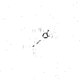 COc1cc(OCC(=O)NC(C)C)cc(OC)c1C(C)(C)C